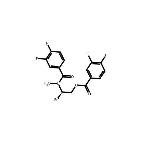 CC(C)[C@H](COC(=O)c1ccc(F)c(F)c1)N(C)C(=O)c1ccc(F)c(F)c1